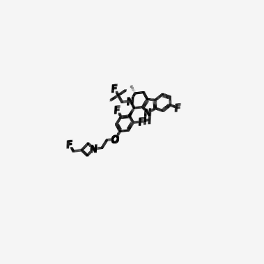 C[C@@H]1Cc2c([nH]c3cc(F)ccc23)[C@@H](c2c(F)cc(OCCN3CC(CF)C3)cc2F)N1CC(C)(C)F